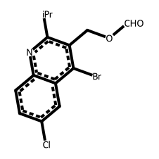 CC(C)c1nc2ccc(Cl)cc2c(Br)c1COC=O